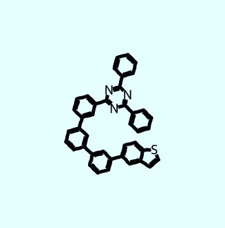 c1ccc(-c2nc(-c3ccccc3)nc(-c3cccc(-c4cccc(-c5cccc(-c6ccc7sccc7c6)c5)c4)c3)n2)cc1